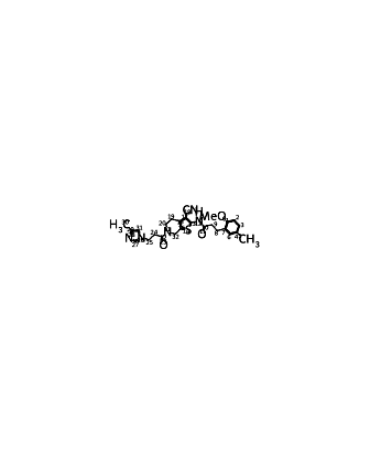 COc1ccc(C)cc1CCC(=O)Nc1sc2c(c1C#N)CCN(C(=O)CCn1cnc(C)c1)C2